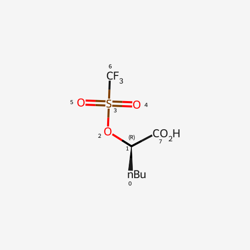 CCCC[C@@H](OS(=O)(=O)C(F)(F)F)C(=O)O